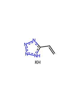 C=Cc1nnn[nH]1.[KH]